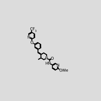 COc1ccc(NC(=O)N2CCC(=Cc3cccc(Oc4ccc(C(F)(F)F)cn4)c3)C(C)C2)cn1